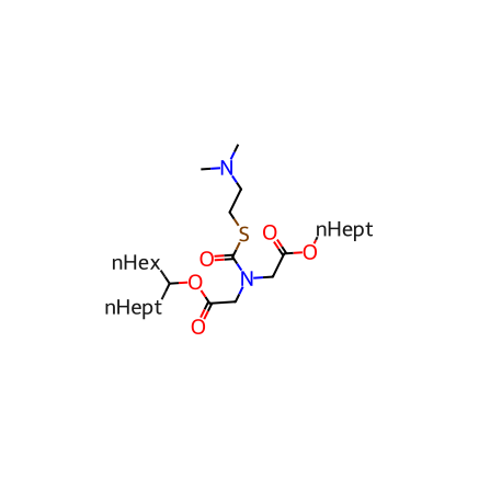 CCCCCCCOC(=O)CN(CC(=O)OC(CCCCCC)CCCCCCC)C(=O)SCCN(C)C